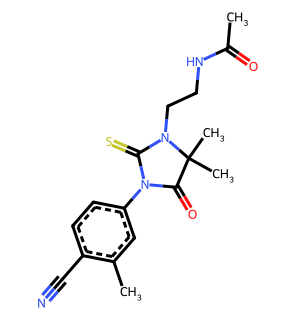 CC(=O)NCCN1C(=S)N(c2ccc(C#N)c(C)c2)C(=O)C1(C)C